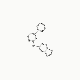 c1ccc(-c2ccnc(Nc3ccc4ncsc4c3)n2)nc1